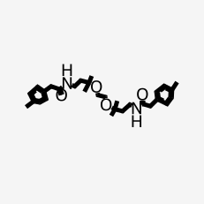 Cc1ccc(CC(=O)NCCC(C)(C)OCCOC(C)(C)CCNC(=O)Cc2ccc(C)cc2)cc1